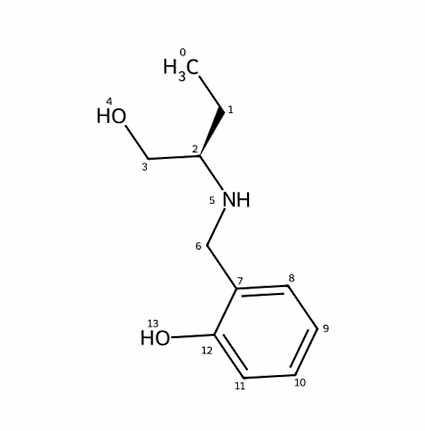 CC[C@H](CO)NCc1ccccc1O